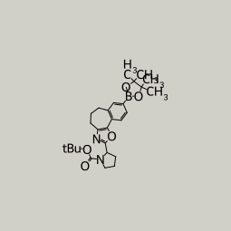 CC(C)(C)OC(=O)N1CCCC1c1nc2c(o1)-c1ccc(B3OC(C)(C)C(C)(C)O3)cc1CCC2